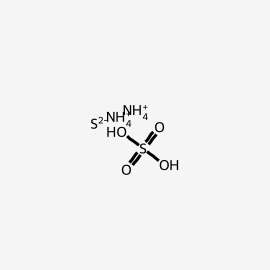 O=S(=O)(O)O.[NH4+].[NH4+].[S-2]